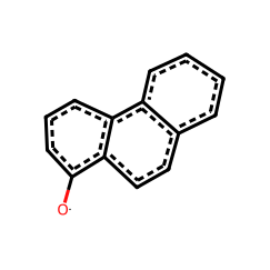 [O]c1cccc2c1ccc1ccccc12